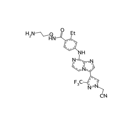 CCc1cc(Nc2nccn3c(-c4cn(CC#N)nc4C(F)(F)F)cnc23)ccc1C(=O)NOCCN